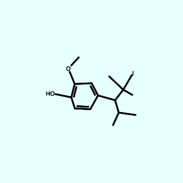 COc1cc(C(C(C)C)C(C)(C)I)ccc1O